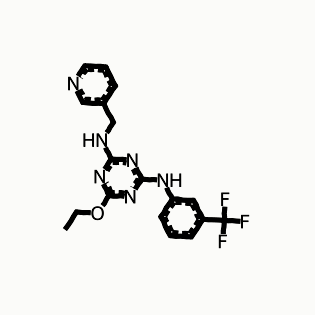 CCOc1nc(NCc2cccnc2)nc(Nc2cccc(C(F)(F)F)c2)n1